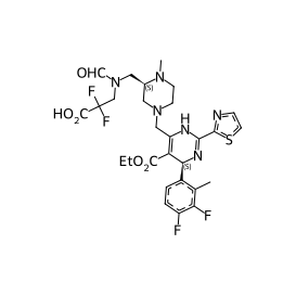 CCOC(=O)C1=C(CN2CCN(C)[C@H](CN(C=O)CC(F)(F)C(=O)O)C2)NC(c2nccs2)=N[C@H]1c1ccc(F)c(F)c1C